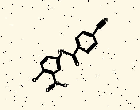 N#Cc1ccc(C(=O)Nc2ccc(Cl)c([N+](=O)[O-])c2)cc1